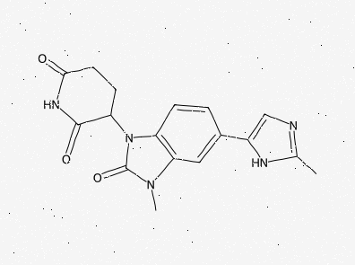 Cc1ncc(-c2ccc3c(c2)n(C)c(=O)n3C2CCC(=O)NC2=O)[nH]1